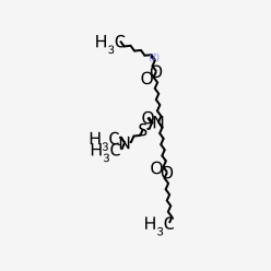 CCCCCC/C=C\COC(=O)CCCCCCCN(CCCCCCCC(=O)OCCCCCCCCC)C(=O)CSCCCN(CC)CC